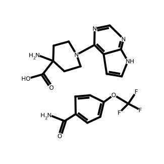 NC(=O)c1ccc(OC(F)(F)F)cc1.NC1(C(=O)O)CCN(c2ncnc3[nH]ccc23)CC1